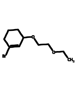 CCOCCOC1C=C(Br)CCC1